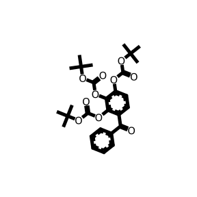 CC(C)(C)OC(=O)Oc1ccc(C(=O)c2ccccc2)c(OC(=O)OC(C)(C)C)c1OC(=O)OC(C)(C)C